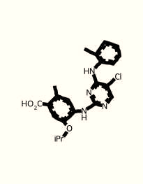 Cc1ccccc1Nc1nc(Nc2cc(C)c(C(=O)O)cc2OC(C)C)ncc1Cl